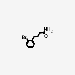 NC(=O)CCCc1ccccc1Br